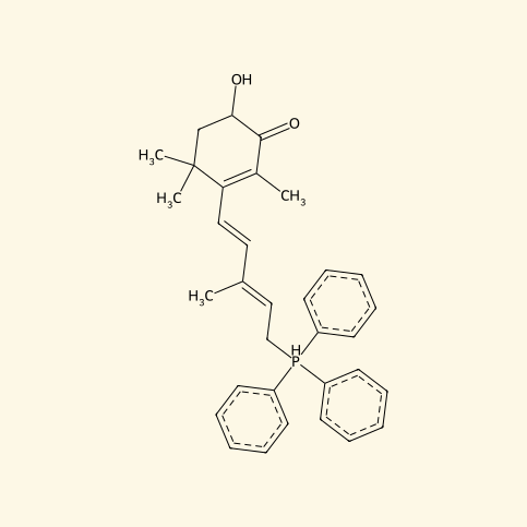 CC1=C(/C=C/C(C)=C/C[PH](c2ccccc2)(c2ccccc2)c2ccccc2)C(C)(C)CC(O)C1=O